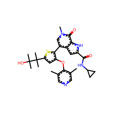 Cc1cncc(C)c1Oc1cc(C(C)(C)C(C)(C)O)sc1-c1cn(C)c(=O)c2[nH]c(C(=O)NC3CC3)cc12